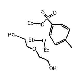 CCOCC.CCOS(=O)(=O)c1ccc(C)cc1.OCCOCCO